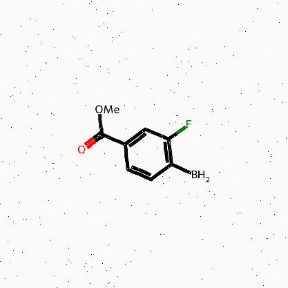 Bc1ccc(C(=O)OC)cc1F